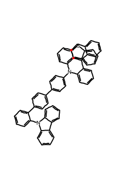 c1ccc(N(c2ccc(-c3ccc(-c4ccccc4-n4c5ccccc5c5ccccc54)cc3)cc2)c2cccc3sc4ccccc4c23)c(-c2cccc3ccccc23)c1